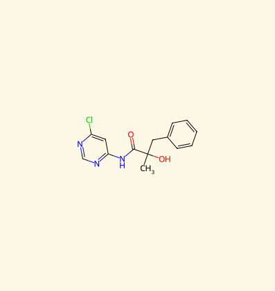 CC(O)(Cc1ccccc1)C(=O)Nc1cc(Cl)ncn1